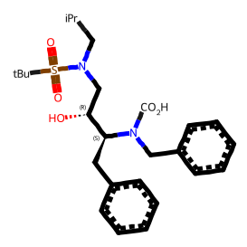 CC(C)CN(C[C@@H](O)[C@H](Cc1ccccc1)N(Cc1ccccc1)C(=O)O)S(=O)(=O)C(C)(C)C